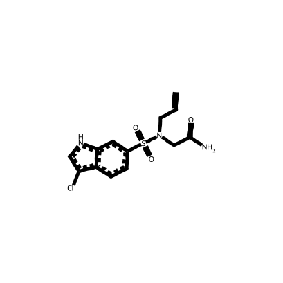 C=CCN(CC(N)=O)S(=O)(=O)c1ccc2c(Cl)c[nH]c2c1